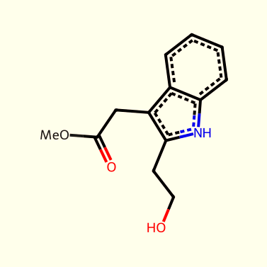 COC(=O)Cc1c(CCO)[nH]c2ccccc12